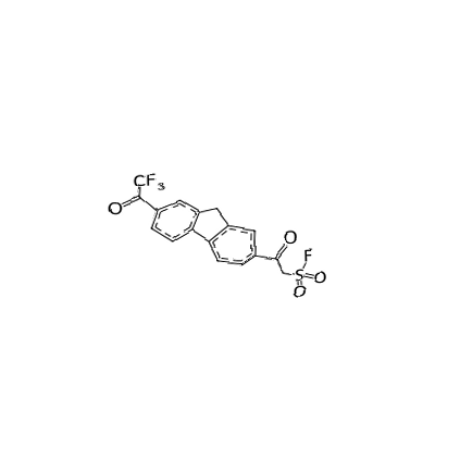 O=C(CS(=O)(=O)F)c1ccc2c(c1)Cc1cc(C(=O)C(F)(F)F)ccc1-2